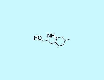 CC1CCC(CC(N)CO)CC1